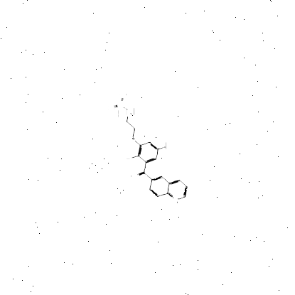 O=C(c1ccc2ncccc2c1)c1cc(F)cc(CCCN[SH](=O)=O)c1F